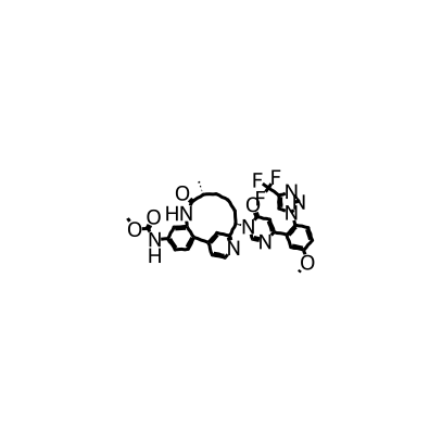 COC(=O)Nc1ccc2c(c1)NC(=O)[C@H](C)CCC[C@H](n1cnc(-c3cc(OC)ccc3-n3cc(C(F)(F)F)nn3)cc1=O)c1cc-2ccn1